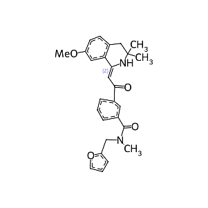 COc1ccc2c(c1)/C(=C/C(=O)c1cccc(C(=O)N(C)Cc3ccco3)c1)NC(C)(C)C2